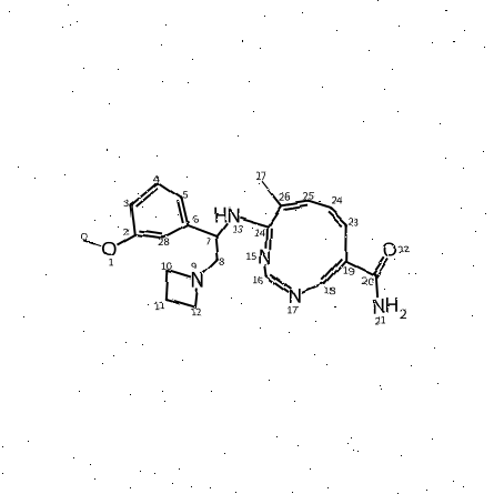 COc1cccc(C(CN2CCC2)Nc2ncncc(C(N)=O)cccc2C)c1